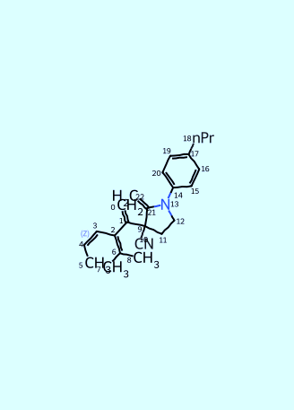 C=C(C(/C=C\C)=C(C)C)C1(C#N)CCN(c2ccc(CCC)cc2)C1=C